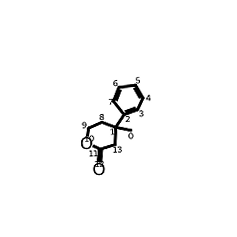 CC1(c2ccccc2)CCOC(=O)C1